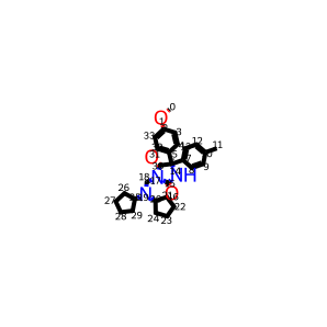 COc1ccc(C2(c3ccc(C)cc3)NC(=O)N(CN(C3CCCC3)C3CCCC3)C2=O)cc1